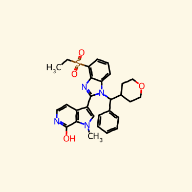 CCS(=O)(=O)c1cccc2c1nc(-c1cn(C)c3c(O)nccc13)n2C(c1ccccc1)C1CCOCC1